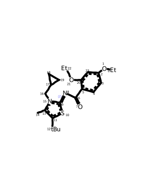 CCOc1ccc(C(=O)/N=c2\sc(C(C)(C)C)c(C)n2CC2CC2)c(OCC)c1